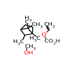 C=COC(=O)O.CC1C2CCC1(C)C2(C)C.CO